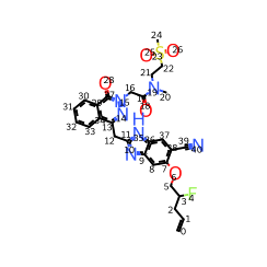 C=CCC(F)COc1cc2nc(Cc3nn(CC(=O)N(C)CCS(C)(=O)=O)c(=O)c4ccccc34)[nH]c2cc1C#N